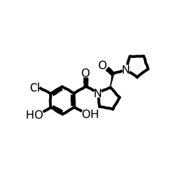 O=C([C@H]1CCCN1C(=O)c1cc(Cl)c(O)cc1O)N1CCCC1